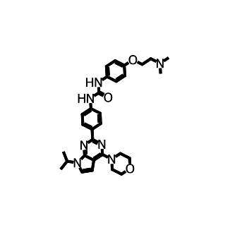 CC(C)n1ccc2c(N3CCOCC3)nc(-c3ccc(NC(=O)Nc4ccc(OCCN(C)C)cc4)cc3)nc21